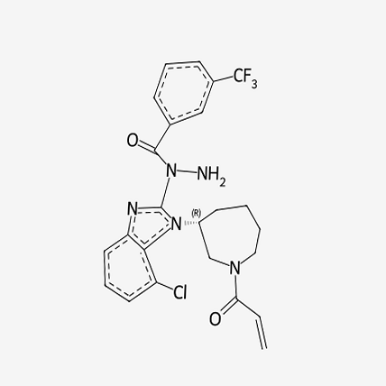 C=CC(=O)N1CCCC[C@@H](n2c(N(N)C(=O)c3cccc(C(F)(F)F)c3)nc3cccc(Cl)c32)C1